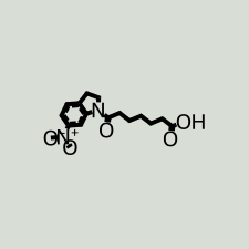 O=C(O)CCCCCC(=O)N1CCc2ccc([N+](=O)[O-])cc21